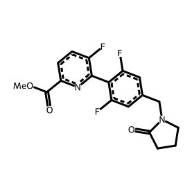 COC(=O)c1ccc(F)c(-c2c(F)cc(CN3CCCC3=O)cc2F)n1